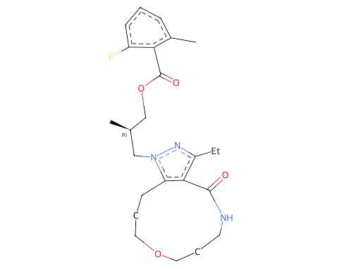 CCc1nn(C[C@@H](C)COC(=O)c2c(C)cccc2F)c2c1C(=O)NCCCOCCC2